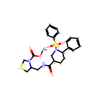 CC(C)(C)OC(=O)N1CSCC1CNC(=O)C1CCC(c2ccccc2)N(S(=O)(=O)c2ccccc2)C1